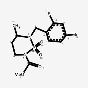 COC(=O)N1CCC(C)N(Cc2ccc(Br)cc2F)S1(=O)=O